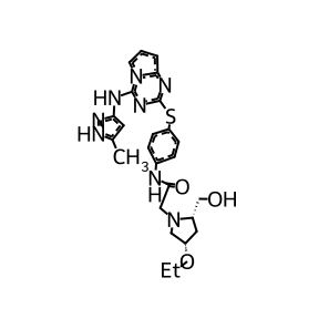 CCO[C@H]1C[C@@H](CO)N(CC(=O)Nc2ccc(Sc3nc(Nc4cc(C)[nH]n4)n4cccc4n3)cc2)C1